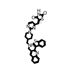 O=C1NC(=O)/C(=C\c2ccnc(N3CCC(CNCc4cc5ccccc5nc4-c4csc5ccccc45)CC3)n2)S1